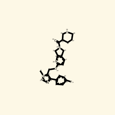 Cn1nnc(-c2ccc(F)cc2)c1COc1ccc2c(n1)CN(C(=O)C1CCCOC1)C2